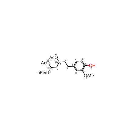 CCCCC[C@@H](C[C@H](CCc1ccc(O)c(OC)c1)OC(C)=O)OC(C)=O